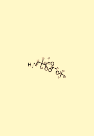 C[C@H](OC(=O)COC(C)(C)C)C(=O)C(C)(C)CN